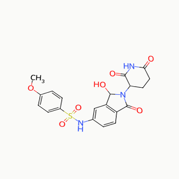 COc1ccc(S(=O)(=O)Nc2ccc3c(c2)C(O)N(C2CCC(=O)NC2=O)C3=O)cc1